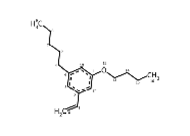 C=Cc1cc(CCCCC)cc(OCCCC)c1